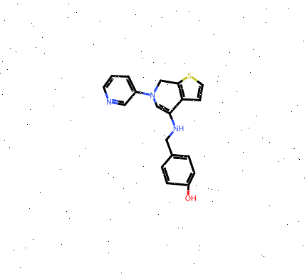 Oc1ccc(CNC2=CN(c3cccnc3)Cc3sccc32)cc1